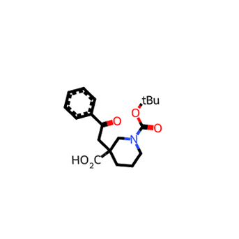 CC(C)(C)OC(=O)N1CCCC(CC(=O)c2ccccc2)(C(=O)O)C1